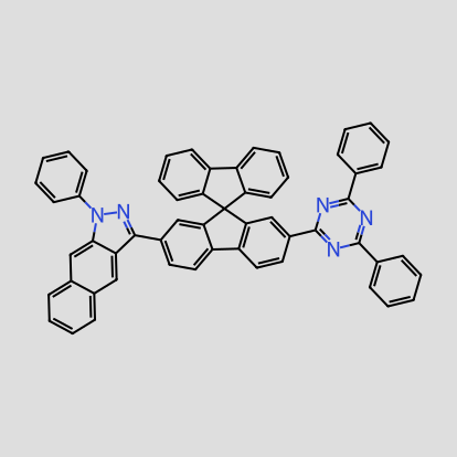 c1ccc(-c2nc(-c3ccccc3)nc(-c3ccc4c(c3)C3(c5ccccc5-c5ccccc53)c3cc(-c5nn(-c6ccccc6)c6cc7ccccc7cc56)ccc3-4)n2)cc1